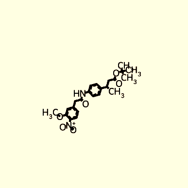 COc1cc(CC(=O)Nc2ccc(C(C)CC(=O)OC(C)(C)C)cc2)ccc1[N+](=O)[O-]